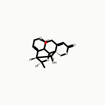 C[C@@H]1O[C@@H]2[C@@]34C(=O)OCC=C3[C@@H]1C(O)[C@@]21COC(=O)C=C1C[C@@H]4C